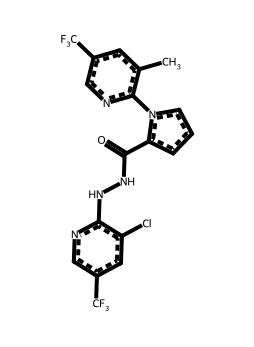 Cc1cc(C(F)(F)F)cnc1-n1cccc1C(=O)NNc1ncc(C(F)(F)F)cc1Cl